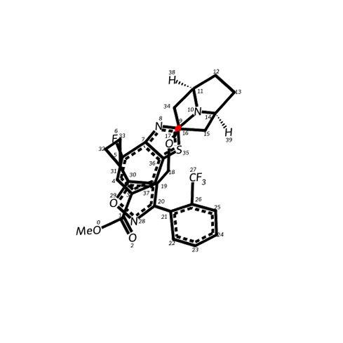 COC(=O)c1cc(F)c2nc(N3[C@@H]4CC[C@H]3C[C@@H](OCc3c(-c5ccccc5C(F)(F)F)noc3C3CC3)C4)sc2c1